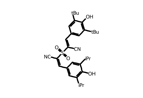 CC(C)c1cc(C=C(C#N)S(=O)(=O)C(C#N)=Cc2cc(C(C)(C)C)c(O)c(C(C)(C)C)c2)cc(C(C)C)c1O